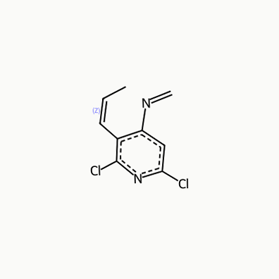 C=Nc1cc(Cl)nc(Cl)c1/C=C\C